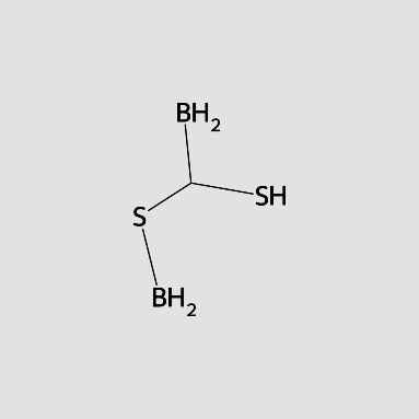 BSC(B)S